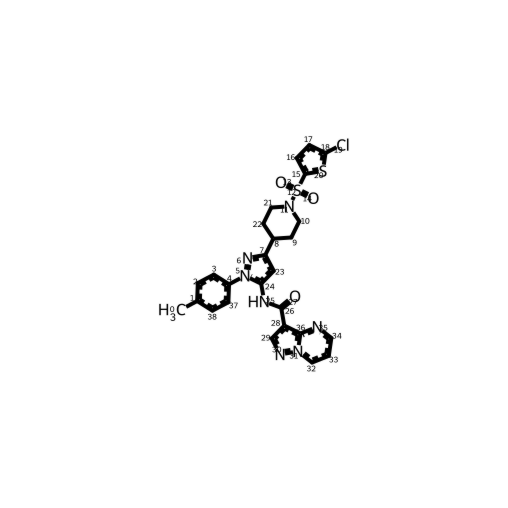 Cc1ccc(-n2nc(C3CCN(S(=O)(=O)c4ccc(Cl)s4)CC3)cc2NC(=O)c2cnn3cccnc23)cc1